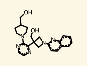 OCC1CCN(c2nccnc2C2(CO)CN(c3ccc4ccccc4n3)C2)CC1